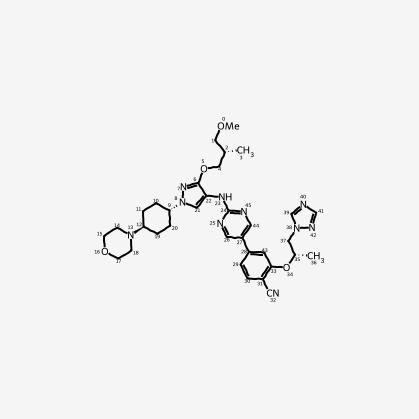 COC[C@H](C)COc1nn([C@H]2CC[C@H](N3CCOCC3)CC2)cc1Nc1ncc(-c2ccc(C#N)c(O[C@@H](C)Cn3cncn3)c2)cn1